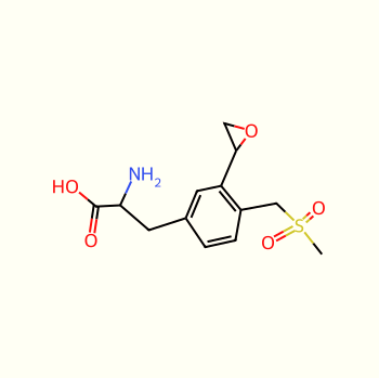 CS(=O)(=O)Cc1ccc(CC(N)C(=O)O)cc1C1CO1